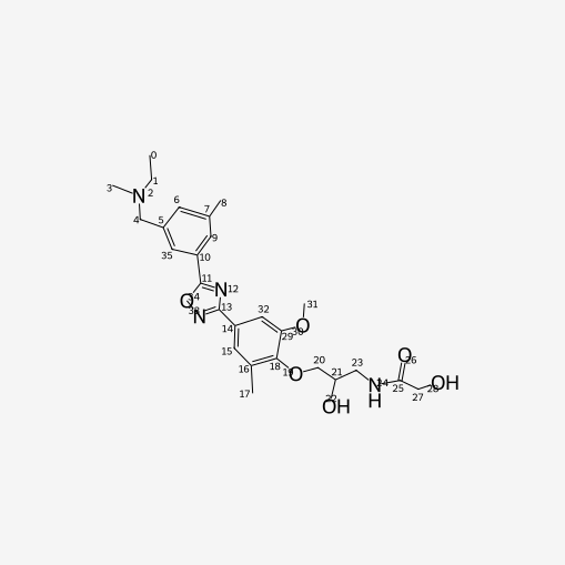 CCN(C)Cc1cc(C)cc(-c2nc(-c3cc(C)c(OCC(O)CNC(=O)CO)c(OC)c3)no2)c1